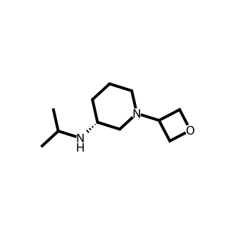 CC(C)N[C@@H]1CCCN(C2COC2)C1